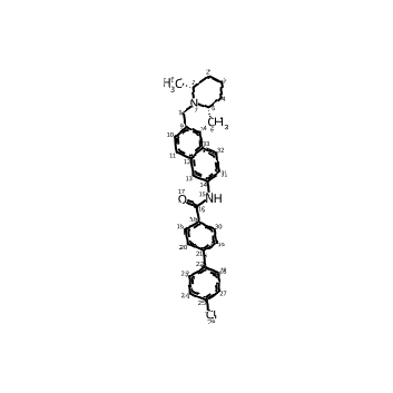 C[C@@H]1CCC[C@H](C)N1Cc1ccc2cc(NC(=O)c3ccc(-c4ccc(Cl)cc4)cc3)ccc2c1